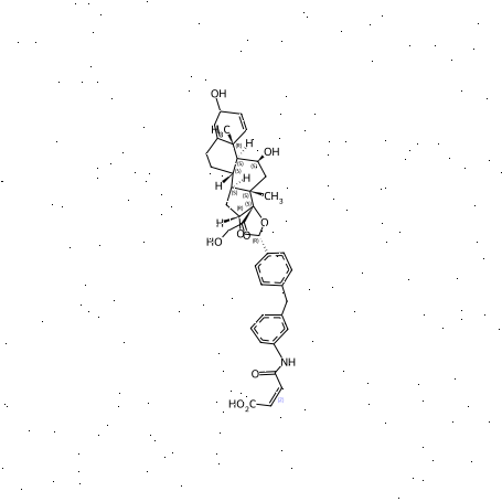 C[C@]12C=CC(O)C=C1CC[C@@H]1[C@@H]2[C@@H](O)C[C@@]2(C)[C@H]1C[C@H]1O[C@@H](c3ccc(Cc4cccc(NC(=O)/C=C\C(=O)O)c4)cc3)O[C@]12C(=O)CO